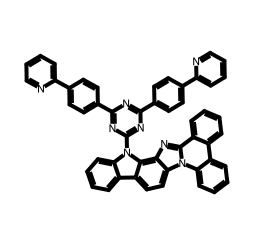 c1ccc(-c2ccc(-c3nc(-c4ccc(-c5ccccn5)cc4)nc(-n4c5ccccc5c5ccc6c(nc7c8ccccc8c8ccccc8n67)c54)n3)cc2)nc1